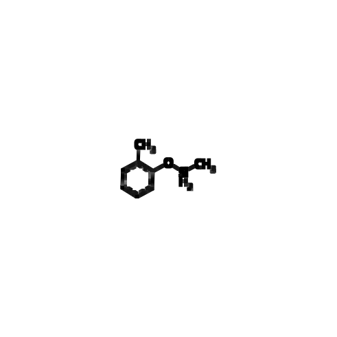 C[SiH2]Oc1ccccc1C